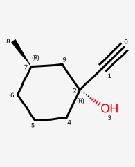 C#C[C@@]1(O)CCC[C@@H](C)C1